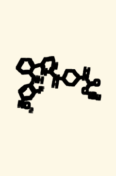 CC(C)(C)OC(=O)NC1CCC(Nc2nccc(-c3ccccc3Nc3ccc([N+](=O)[O-])cc3F)n2)CC1